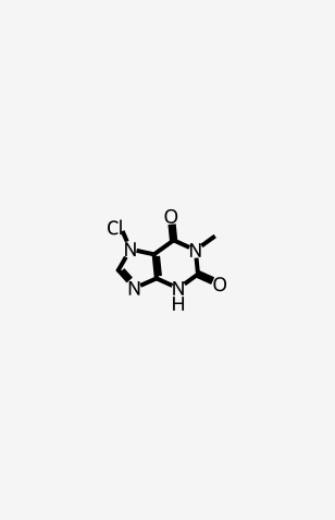 Cn1c(=O)[nH]c2ncn(Cl)c2c1=O